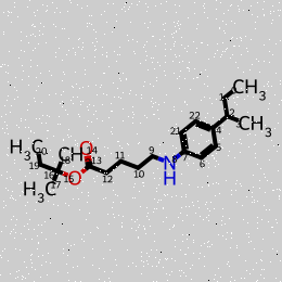 CCC(C)c1ccc(NCCCCC(=O)OC(C)(C)CC)cc1